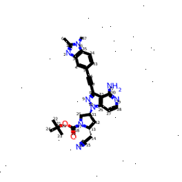 Cc1nc2cc(C#Cc3nn([C@H]4C[C@H](CC#N)N(C(=O)OC(C)(C)C)C4)c4ccnc(N)c34)ccc2n1C